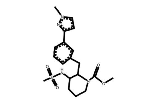 COC(=O)N1CCCC(NS(C)(=O)=O)C1Cc1cccc(-c2ccn(C)n2)c1